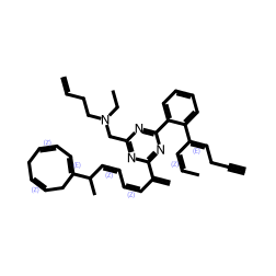 C#CC/C=C(\C=C/C)c1ccccc1-c1nc(CN(CC)CCC=C)nc(C(=C)/C=C\C=C/C(C)/C2=C/C=C\C/C=C\C2)n1